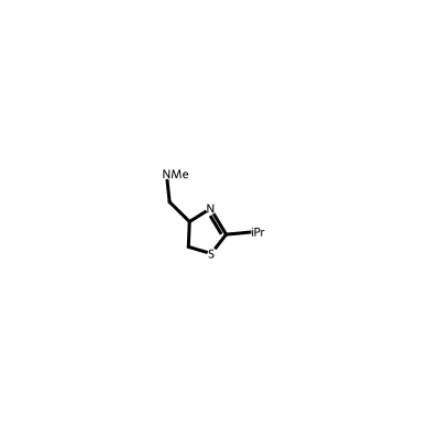 CNCC1CSC(C(C)C)=N1